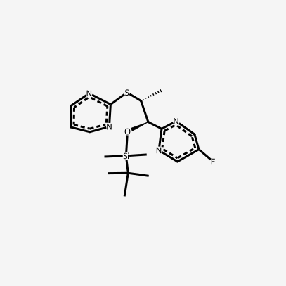 C[C@@H](Sc1ncccn1)[C@H](O[Si](C)(C)C(C)(C)C)c1ncc(F)cn1